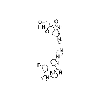 Cn1c(=O)n(C2CCC(=O)NC2=O)c2ccc(N3CC(CN4CCN(c5cccc(-c6cnc7ccc(N8CCCC8c8cccc(F)c8)nn67)n5)CC4)C3)cc21